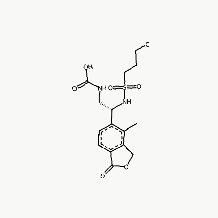 Cc1c([C@H](CNC(=O)O)NS(=O)(=O)CCCCl)ccc2c1COC2=O